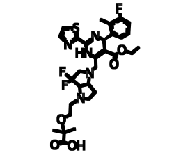 CCOC(=O)C1=C(CN2CC(F)(F)C3C2CCN3CCOC(C)(C)C(=O)O)NC(c2nccs2)=N[C@H]1c1cccc(F)c1C